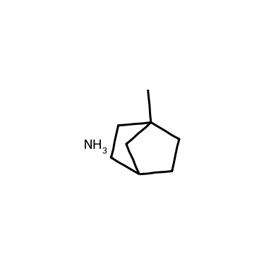 CC12CCC(CC1)C2.N